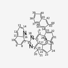 C/C(=C1/C2=C(N=C(c3cccc4cccnc34)N1C)C(C)(C)c1ccccc12)c1ccccc1-c1cc2ccccc2cc1C